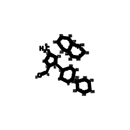 Cc1cc(C=O)n(-c2ccccc2)c1.c1ccc2ncccc2c1.c1ccncc1